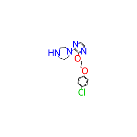 Clc1ccc(OCCOc2nccnc2N2CCCNCC2)cc1